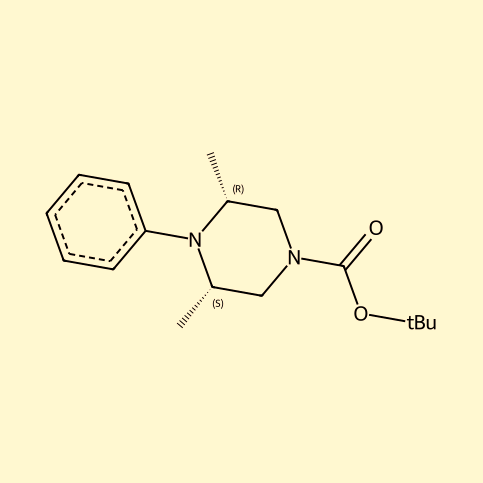 C[C@@H]1CN(C(=O)OC(C)(C)C)C[C@H](C)N1c1ccccc1